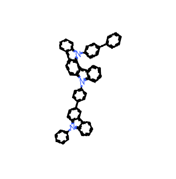 c1ccc(-c2ccc(-n3c4ccccc4c4ccc5c(c6ccccc6n5-c5ccc(-c6ccc7c(c6)c6ccccc6n7-c6ccccc6)cc5)c43)cc2)cc1